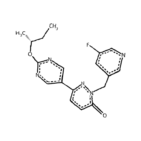 CC[C@@H](C)Oc1ncc(-c2ccc(=O)n(Cc3cncc(F)c3)n2)cn1